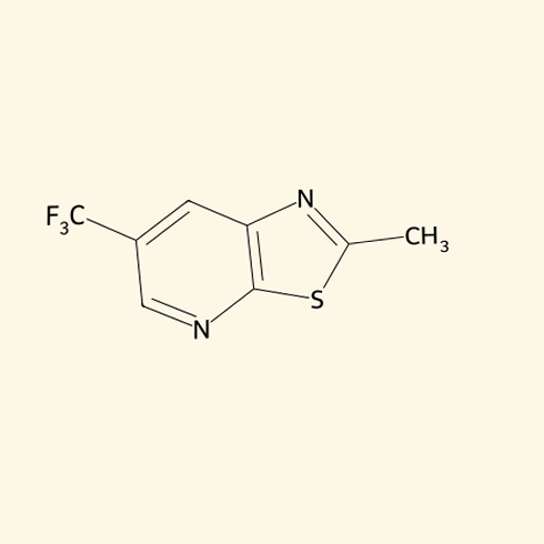 Cc1nc2cc(C(F)(F)F)cnc2s1